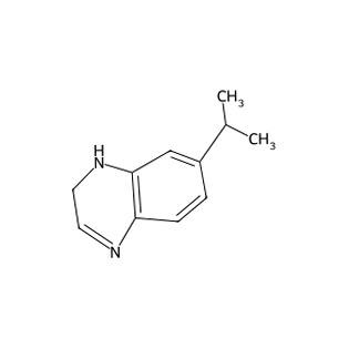 CC(C)c1ccc2c(c1)NCC=N2